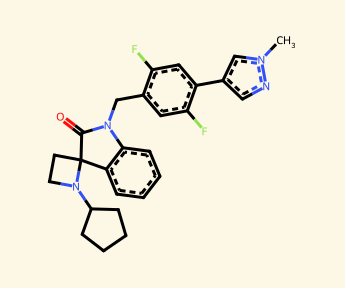 Cn1cc(-c2cc(F)c(CN3C(=O)C4(CCN4C4CCCC4)c4ccccc43)cc2F)cn1